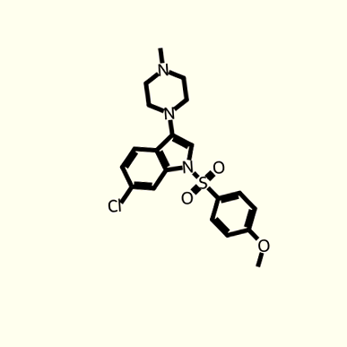 COc1ccc(S(=O)(=O)n2cc(N3CCN(C)CC3)c3ccc(Cl)cc32)cc1